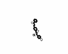 COc1ccc(C(=C=O)C=CC2(OC)C=CC(/C=C/C(=O)c3ccccc3)=CC2)cc1